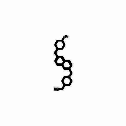 CCCC1CCC(Oc2ccc3cc(CN4CCC(CO)CC4)ccc3c2)CC1